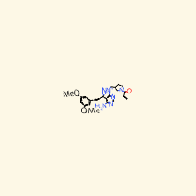 C=CC(=O)N1CCC(/C=[N+]2/N=C(C#Cc3cc(OC)cc(OC)c3)c3c(N)ncnc32)C1